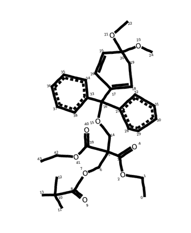 CCOC(=O)C(COC(=O)C(C)(C)C)(COC(C1=CCC(OC)(OC)C=C1)(c1ccccc1)c1ccccc1)C(=O)OCC